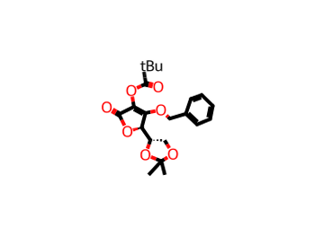 CC1(C)OC[C@@H]([C@H]2OC(=O)C(OC(=O)C(C)(C)C)=C2OCc2ccccc2)O1